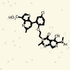 CC(=O)N(C)c1ncc2nc(C)n(CCOc3ccc(Cl)cc3-c3cc(C)nc4c(C(=O)O)csc34)c(=O)c2c1C#N